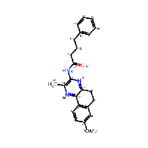 COc1ccc2c(c1)CCc1nc(NC(=O)CCCc3ccccc3)c(C)nc1-2